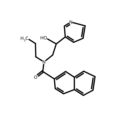 CCCN(CC(O)c1cccnc1)C(=O)c1ccc2ccccc2c1